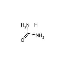 NC(N)=O.[H]